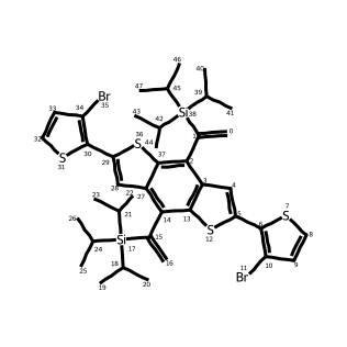 C=C(c1c2cc(-c3sccc3Br)sc2c(C(=C)[Si](C(C)C)(C(C)C)C(C)C)c2cc(-c3sccc3Br)sc12)[Si](C(C)C)(C(C)C)C(C)C